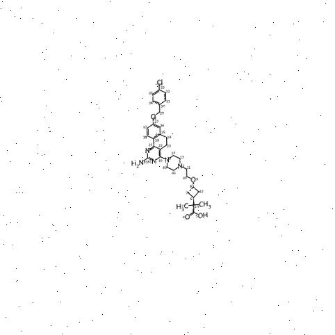 CC(C)(C(=O)O)[C@H]1C[C@@H](OCCN2CCN(c3nc(N)nc4c3CCc3cc(OCc5ccc(Cl)cc5)ccc3-4)CC2)C1